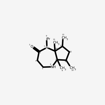 CC(C)N1C(=O)CCNC2(C)C(C)CC(C)C12C